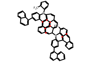 FC(F)(F)c1ccccc1N(C1=C2C=CC3=C4C(=CC=C(C=C1)C24)C(N(c1ccc(-c2cccc4ccccc24)cc1-c1cccc2ccccc12)c1ccccc1C(F)(F)F)C=C3)c1ccc(-c2cccc3ccccc23)cc1-c1cccc2ccccc12